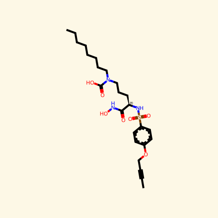 CC#CCOc1ccc(S(=O)(=O)N[C@H](CCCN(CCCCCCCC)C(=O)O)C(=O)NO)cc1